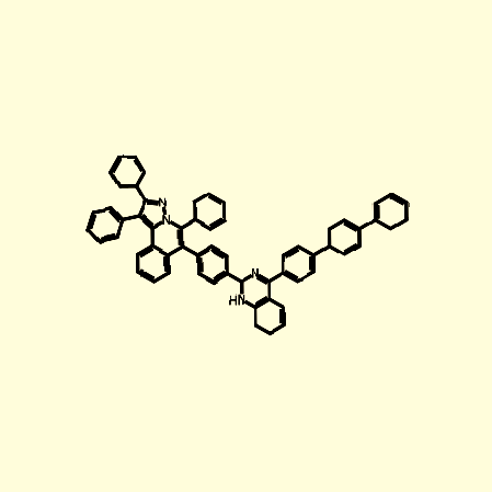 C1=CCCC(C2=CCC(c3ccc(C4=NC(c5ccc(-c6c(C7C=CC=CC7)n7nc(C8C=CC=CC8)c(-c8ccccc8)c7c7ccccc67)cc5)NC5=C4C=CCC5)cc3)C=C2)=C1